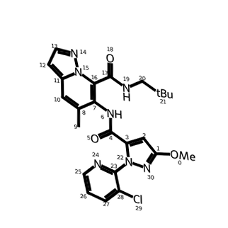 COc1cc(C(=O)Nc2c(C)cc3ccnn3c2C(=O)NCC(C)(C)C)n(-c2ncccc2Cl)n1